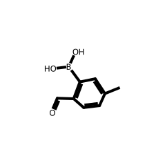 Cc1ccc(C=O)c(B(O)O)c1